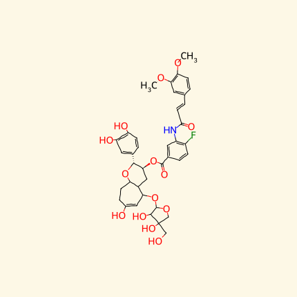 COc1ccc(/C=C/C(=O)Nc2cc(C(=O)O[C@H]3CC4C(OC5OCC(O)(CO)C5O)C=C(O)CCC4O[C@@H]3c3ccc(O)c(O)c3)ccc2F)cc1OC